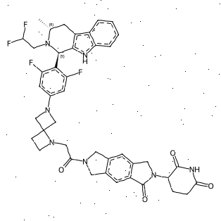 C[C@@H]1Cc2c([nH]c3ccccc23)[C@@H](c2c(F)cc(N3CC4(CCN4CC(=O)N4Cc5cc6c(cc5C4)C(=O)N(C4CCC(=O)NC4=O)C6)C3)cc2F)N1CC(F)F